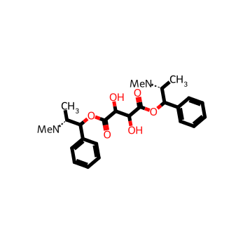 CN[C@H](C)C(OC(=O)C(O)C(O)C(=O)OC(c1ccccc1)[C@@H](C)NC)c1ccccc1